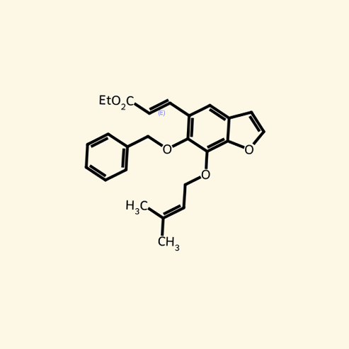 CCOC(=O)/C=C/c1cc2ccoc2c(OCC=C(C)C)c1OCc1ccccc1